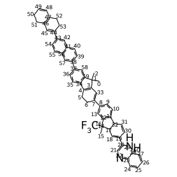 CC1(C)C2=C(CCC(c3ccc4c(c3)C(C)(C(F)(F)F)C3C=C(C5=CN=C6C=CC=C[C@@H]6N5)C=CC43)=C2)c2ccc(-c3ccc4cc(C5=CC6=C(C=CCC6)CC5)ccc4c3)cc21